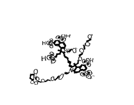 COCCOCCOCCOCCC1(C)\C(=C/C=C/C=C/C2=[N+](CCOC)c3ccc4c(S(=O)(=O)O)cc(S(=O)(=O)O)cc4c3C2(C)CCCS(=O)(=O)O)N(CCOCCOCCCOCC(=O)ON2C(=O)CCC2=O)c2ccc3c(S(=O)(=O)[O-])cc(S(=O)(=O)O)cc3c21